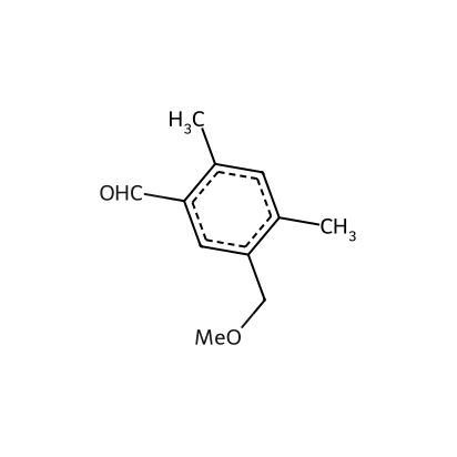 COCc1cc(C=O)c(C)cc1C